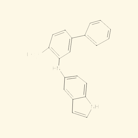 O=C(O)c1ccc(-c2ccccc2)cc1Nc1ccc2[nH]ccc2c1